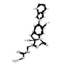 COC(=O)NC[C@@H]1OC(=O)N2c3cc(F)c(-n4cc5cccnc5c4)cc3C[C@@H]12